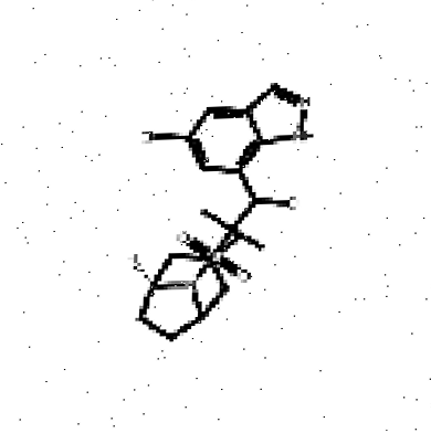 CC(C)(C(O)c1cc(Cl)cc2cn[nH]c12)[C@H]1CC2CC[C@@H](C1)N2S(C)(=O)=O